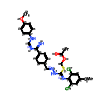 COc1cc(Cl)c(/N=C(/N/N=C/c2ccc(C(=N)/N=C\Nc3ccc(OC(F)(F)F)cc3)cc2)SCOC(=O)C(C)C)c(Cl)c1